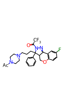 CC(=O)N1CCN(CCCC2(c3ccccc3)C3COc4ccc(F)cc4C3=NN2C(=O)C(F)(F)F)CC1